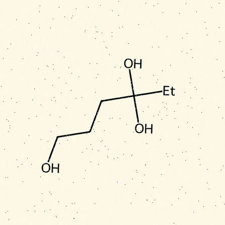 [CH2]CC(O)(O)CCCO